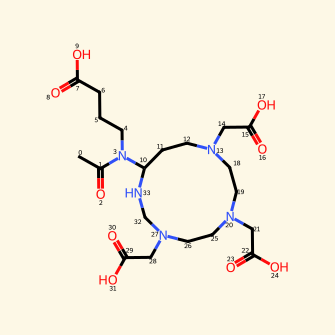 CC(=O)N(CCCC(=O)O)C1CCN(CC(=O)O)CCN(CC(=O)O)CCN(CC(=O)O)CN1